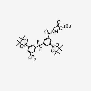 CC(C)(C)OC(=O)CNC(=O)c1cc(B2OC(C)(C)C(C)(C)O2)cc(C(F)(F)c2cc(B3OC(C)(C)C(C)(C)O3)cc(C(F)(F)F)c2)c1